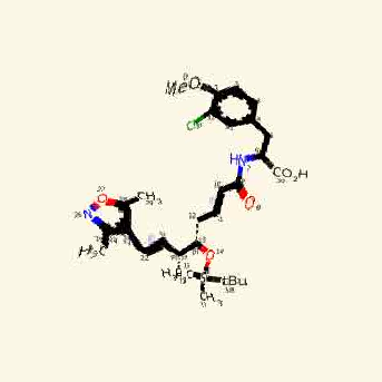 COc1ccc(CC(NC(=O)/C=C/C[C@H](O[Si](C)(C)C(C)(C)C)[C@H](C)/C=C/c2c(C)noc2C)C(=O)O)cc1Cl